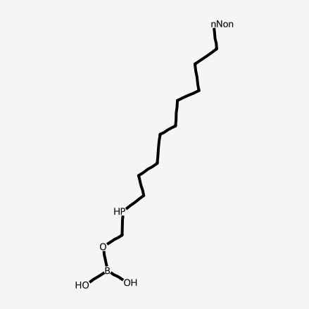 CCCCCCCCCCCCCCCCCCPCOB(O)O